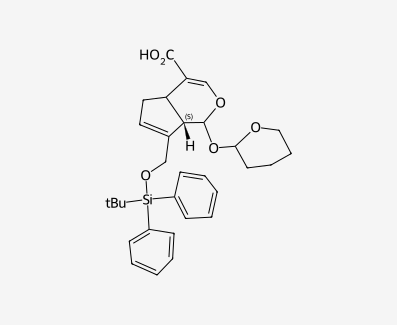 CC(C)(C)[Si](OCC1=CCC2C(C(=O)O)=COC(OC3CCCCO3)[C@H]12)(c1ccccc1)c1ccccc1